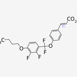 O=C(O)/C=C/c1ccc(OC(F)(F)c2ccc(OCCCC(F)(F)F)c(F)c2F)cc1